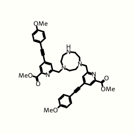 COC(=O)c1cc(C#Cc2ccc(OC)cc2)cc(CN2CCNCCN(Cc3cc(C#Cc4ccc(OC)cc4)cc(C(=O)OC)n3)CC2)n1